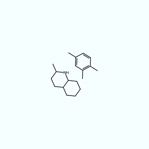 CC1CCC2CCCCC2N1.Cc1ccc(C)c(C)c1